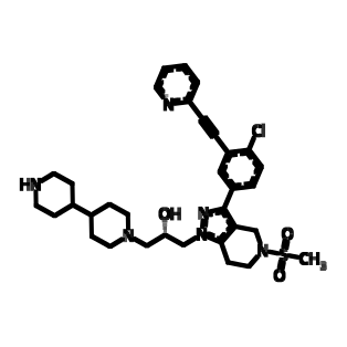 CS(=O)(=O)N1CCc2c(c(-c3ccc(Cl)c(C#Cc4ccccn4)c3)nn2C[C@@H](O)CN2CCC(C3CCNCC3)CC2)C1